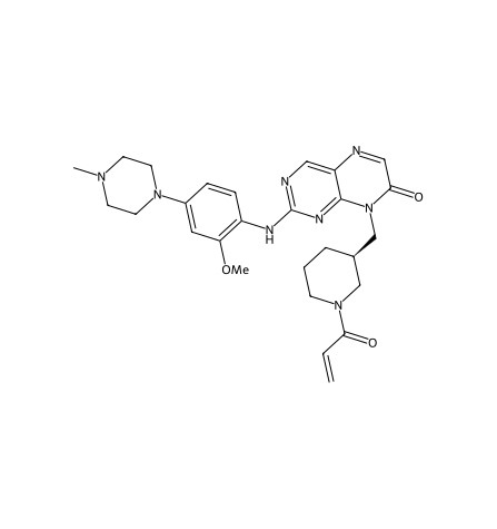 C=CC(=O)N1CCC[C@@H](Cn2c(=O)cnc3cnc(Nc4ccc(N5CCN(C)CC5)cc4OC)nc32)C1